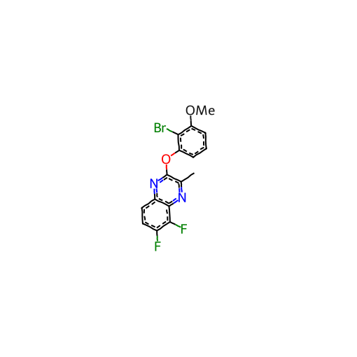 COc1cccc(Oc2nc3ccc(F)c(F)c3nc2C)c1Br